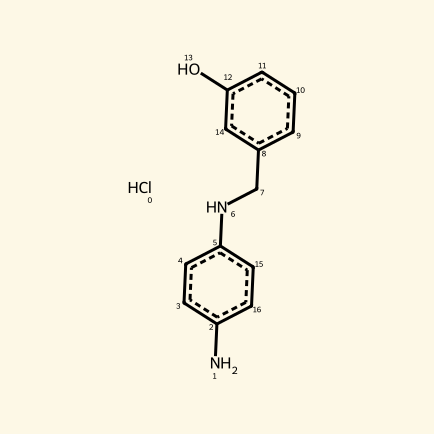 Cl.Nc1ccc(NCc2cccc(O)c2)cc1